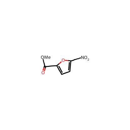 COC(=O)c1ccc([N+](=O)[O-])o1